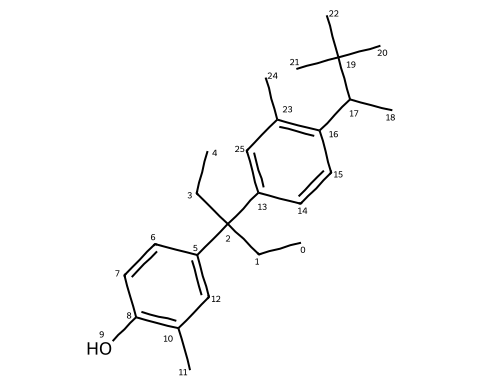 CCC(CC)(c1ccc(O)c(C)c1)c1ccc(C(C)C(C)(C)C)c(C)c1